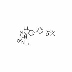 Cc1nc(C)c(-c2ccc(-c3ccc(CC(=O)OC(C)(C)C)cc3)cc2Cl)nc1C(N)=O